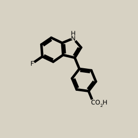 O=C(O)c1ccc(-c2c[nH]c3ccc(F)cc23)cc1